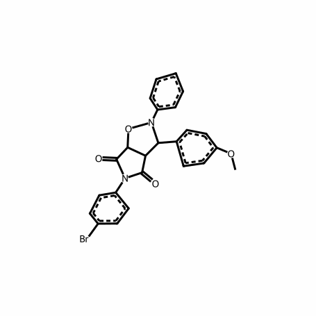 COc1ccc(C2C3C(=O)N(c4ccc(Br)cc4)C(=O)C3ON2c2ccccc2)cc1